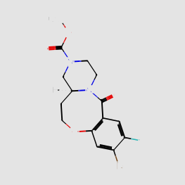 CC(C)(C)OC(=O)N1CCN2C(=O)c3cc(F)c(Br)cc3OCC[C@H]2C1